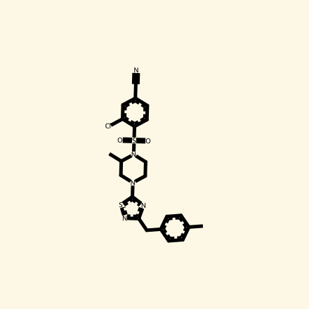 Cc1ccc(Cc2nsc(N3CCN(S(=O)(=O)c4ccc(C#N)cc4Cl)C(C)C3)n2)cc1